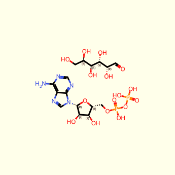 Nc1ncnc2c1ncn2[C@@H]1O[C@H](COP(=O)(O)OP(=O)(O)O)[C@@H](O)[C@H]1O.O=C[C@H](O)[C@@H](O)[C@@H](O)[C@H](O)CO